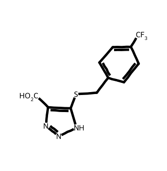 O=C(O)c1nn[nH]c1SCc1ccc(C(F)(F)F)cc1